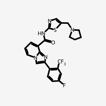 O=C(Nc1ncc(CN2CCCC2)s1)c1cccn2cc(-c3ccc(F)cc3C(F)(F)F)nc12